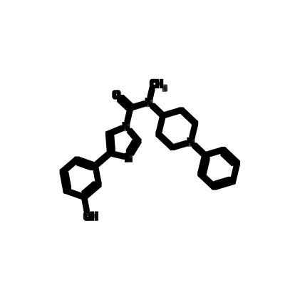 CN(C(=O)n1cnc(-c2cccc(O)c2)c1)C1CCN(c2ccccc2)CC1